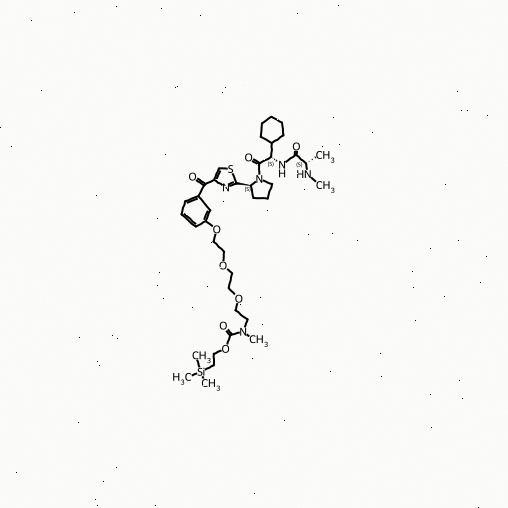 CN[C@@H](C)C(=O)N[C@H](C(=O)N1CCC[C@H]1c1nc(C(=O)c2cccc(OCCOCCOCCN(C)C(=O)OCC[Si](C)(C)C)c2)cs1)C1CCCCC1